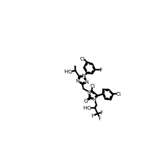 CC(O)c1nc(Cn2c(Cl)c(-c3ccc(Cl)cc3)n(CC(O)C(F)(F)F)c2=O)nn1-c1cc(F)cc(Cl)c1